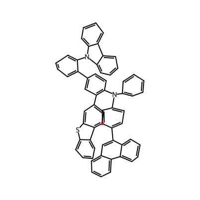 c1ccc(N(c2ccc(-c3cc4ccccc4c4ccccc34)cc2)c2ccc(-c3ccccc3-n3c4ccccc4c4ccccc43)cc2-c2ccc3c(c2)sc2ccccc23)cc1